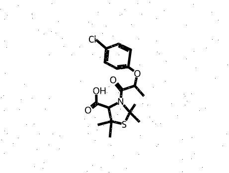 CC(Oc1ccc(Cl)cc1)C(=O)N1C(C(=O)O)C(C)(C)SC1(C)C